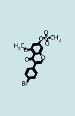 COc1cc(OS(C)(=O)=O)cc2occ(-c3ccc(Br)cc3)c(=O)c12